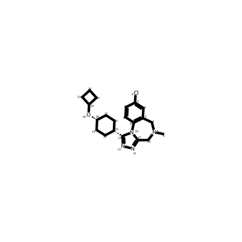 CN1Cc2cc(Cl)ccc2-n2c(nnc2[C@H]2CC[C@@H](OC3CCC3)CC2)C1